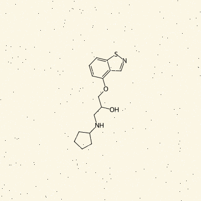 OC(CNC1CCCC1)COc1cccc2sncc12